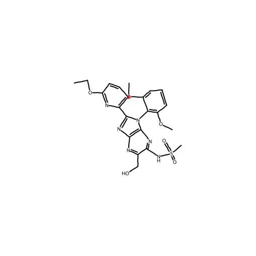 CCOc1cccc(-c2nc3nc(CO)c(NS(C)(=O)=O)nc3n2-c2c(OC)cccc2OC)n1